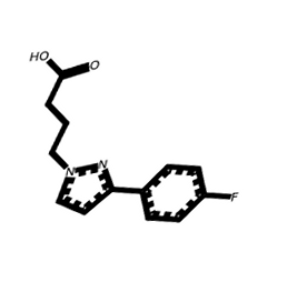 O=C(O)CCCn1ccc(-c2ccc(F)cc2)n1